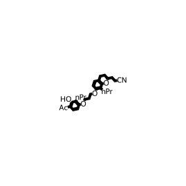 CCCc1c(OCCCOc2ccc3c(c2CCC)OC(CCC#N)CC3)ccc(C(C)=O)c1O